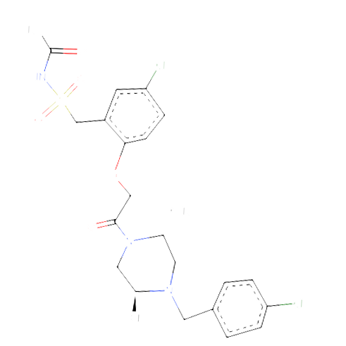 CC(=O)NS(=O)(=O)Cc1cc(Cl)ccc1OCC(=O)N1C[C@H](C)N(Cc2ccc(Cl)cc2)C[C@H]1C